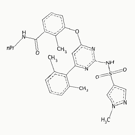 CCCNC(=O)c1cccc(Oc2cc(-c3c(C)cccc3C)nc(NS(=O)(=O)c3cnn(C)c3)n2)c1C